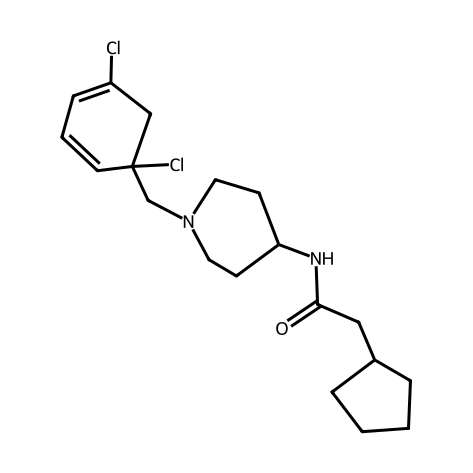 O=C(CC1CCCC1)NC1CCN(CC2(Cl)C=CC=C(Cl)C2)CC1